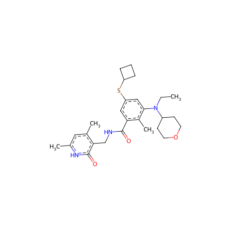 CCN(c1cc(SC2CCC2)cc(C(=O)NCc2c(C)cc(C)[nH]c2=O)c1C)C1CCOCC1